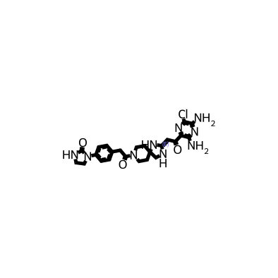 Nc1nc(N)c(C(=O)/C=C2\NCC3(CCN(C(=O)Cc4ccc(N5CCNC5=O)cc4)CC3)N2)nc1Cl